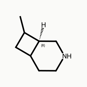 CC1CC2CCNC[C@H]12